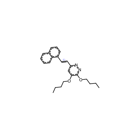 CCCCOc1cc(/C=C/c2cccc3ccccc23)nnc1OCCCC